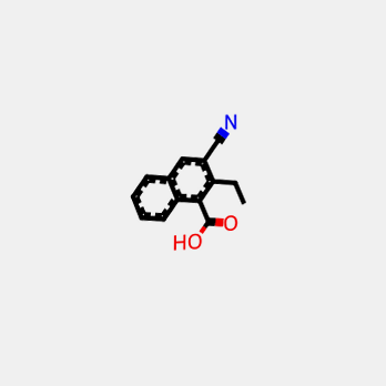 CCc1c(C#N)cc2ccccc2c1C(=O)O